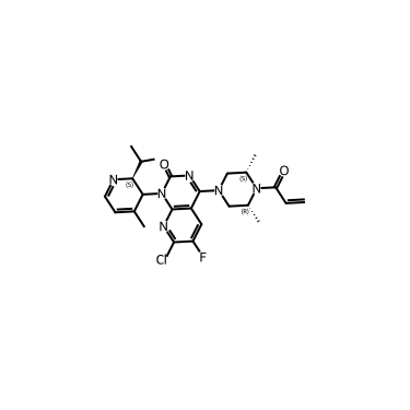 C=CC(=O)N1[C@H](C)CN(c2nc(=O)n(C3C(C)=CC=N[C@H]3C(C)C)c3nc(Cl)c(F)cc23)C[C@@H]1C